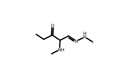 CCC(=O)C(/C=N/NI)NC